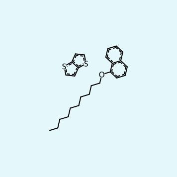 CCCCCCCCCCOc1cccc2ccccc12.c1cc2sccc2s1